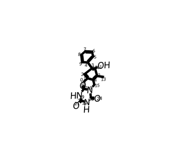 Cc1cc(-c2ccccc2)c(O)c(C)c1Cn1c(=O)[nH]c(=O)[nH]c1=O